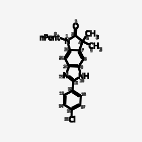 CCCCCN1C(=O)C(C)(C)c2cc3[nH]c(-c4ccc(Cl)cc4)nc3cc21